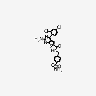 Nc1nc(-c2ccc(Cl)cc2Cl)c2cc(C(=O)NCc3ccc(S(N)(=O)=O)cc3)sc2n1